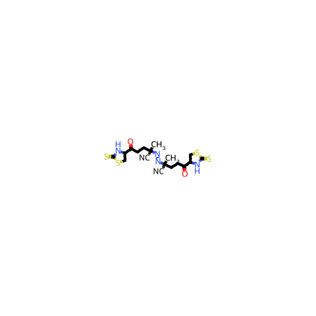 CC(C#N)(CCC(=O)C1CSC(=S)N1)N=NC(C)(C#N)CCC(=O)C1CSC(=S)N1